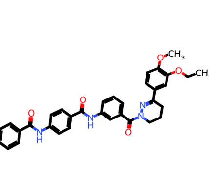 CCOc1cc(C2=NN(C(=O)c3cccc(NC(=O)c4ccc(NC(=O)c5ccccc5)cc4)c3)CCC2)ccc1OC